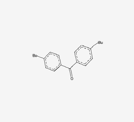 CCC(C)c1ccc(C(=O)c2ccc(C(C)CC)cc2)cc1